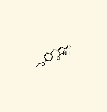 CCOc1ccc(CC2=CC(=O)NC2=O)cc1